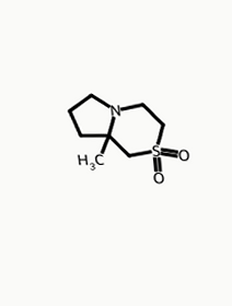 CC12CCCN1CCS(=O)(=O)C2